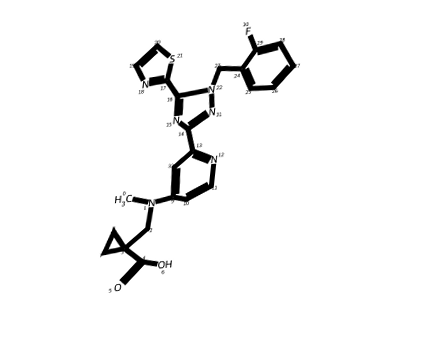 CN(CC1(C(=O)O)CC1)c1ccnc(-c2nc(-c3nccs3)n(Cc3ccccc3F)n2)c1